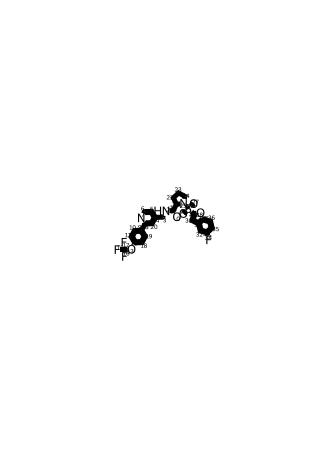 O=C(NCc1ccnc(-c2ccc(OC(F)(F)F)cc2)c1)C1CCCN1S(=O)(=O)c1cc2cc(F)ccc2o1